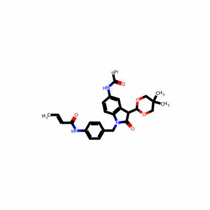 C/C=C/C(=O)Nc1ccc(CN2C(=O)C(C3OCC(C)(C)CO3)c3cc(NC(=O)CCC)ccc32)cc1